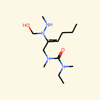 CCC/C=C(/CN(C)C(=O)N(C)CC)N(CO)NC